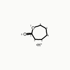 O=C1CCCCCO1.[H+]